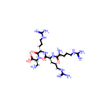 N=C(N)NCCC[C@H](NC(=O)[C@H](CCCNC(=N)N)NC(=O)[C@@H](N)CCCNC(=N)N)C(=O)N[C@@H](CN)C(=O)O